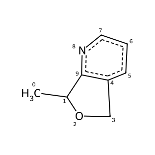 CC1OCc2cccnc21